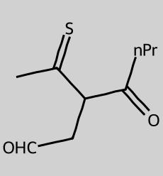 CCCC(=O)C(CC=O)C(C)=S